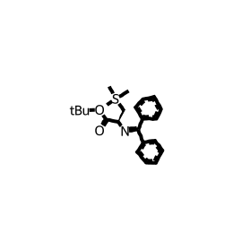 CC(C)(C)OC(=O)[C@@H](CS(C)(C)C)N=C(c1ccccc1)c1ccccc1